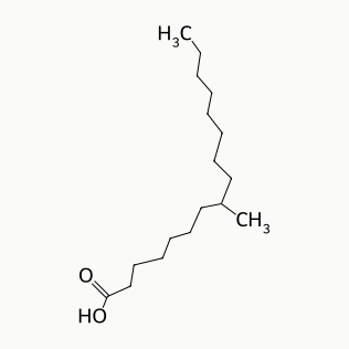 CCCCCCCCC(C)CCCCCCC(=O)O